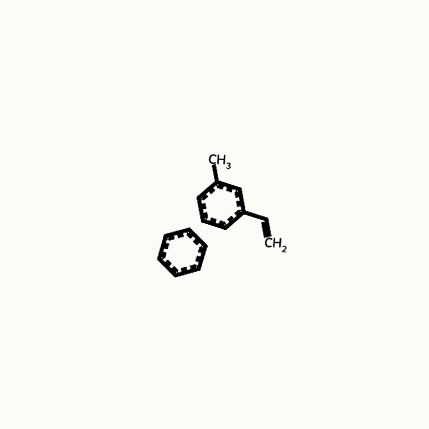 C=Cc1cccc(C)c1.c1ccccc1